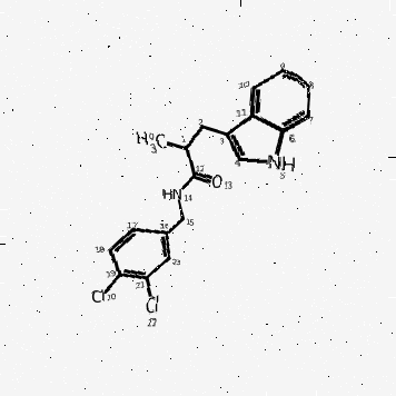 CC(Cc1c[nH]c2ccccc12)C(=O)NCc1ccc(Cl)c(Cl)c1